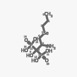 CCC[Se]CC(N)C(O)(P(=O)(O)O)P(=O)(O)O